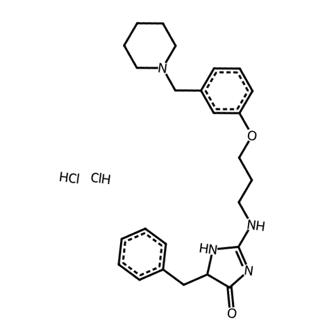 Cl.Cl.O=C1N=C(NCCCOc2cccc(CN3CCCCC3)c2)NC1Cc1ccccc1